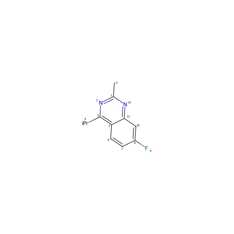 Cc1nc(C(C)C)c2ccc(F)cc2n1